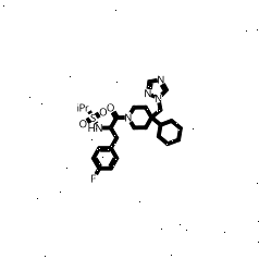 CC(C)S(=O)(=O)NC(Cc1ccc(F)cc1)C(=O)N1CCC(Cn2cncn2)(C2CCCCC2)CC1